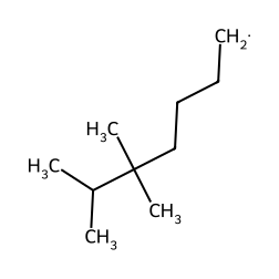 [CH2]CCCC(C)(C)C(C)C